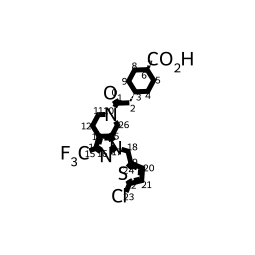 O=C(C[C@H]1CC[C@H](C(=O)O)CC1)N1CCc2c(C(F)(F)F)nn(Cc3ccc(Cl)s3)c2C1